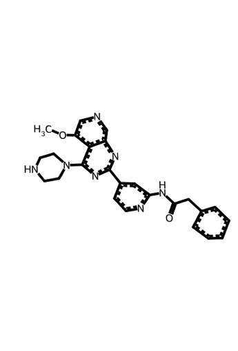 COc1cncc2nc(-c3ccnc(NC(=O)Cc4ccccc4)c3)nc(N3CCNCC3)c12